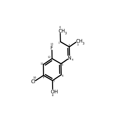 CC/C(C)=N\c1cc(O)c(Cl)cc1F